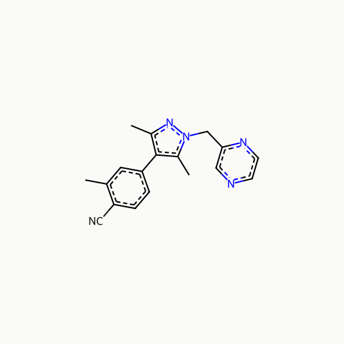 Cc1cc(-c2c(C)nn(Cc3cnccn3)c2C)ccc1C#N